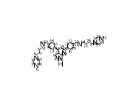 CN1CCN(CCCC/N=C\c2ccc(-c3cc(-c4ccc(/C=N/CCCCN5CCN(C)CC5)cc4)nc4[nH]ccc34)cc2)CC1